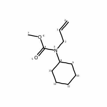 C=CCN(C(=O)OC)C1CCCCC1